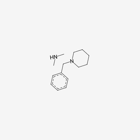 CNC.c1ccc(CN2CCCCC2)cc1